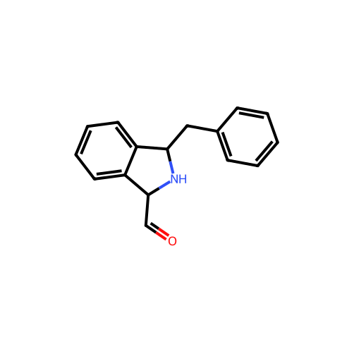 O=CC1NC(Cc2ccccc2)c2ccccc21